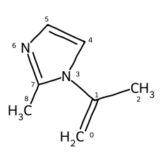 C=C(C)n1ccnc1C